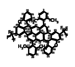 Cc1cccc(C)c1-c1cc2c3c(cc4c(-c5c(C)cccc5C)cc5c6c(cc1c3c46)B1c3ccccc3Oc3cc(C(F)(F)F)cc-5c31)B1c3ccccc3Oc3cc(C(F)(F)F)cc-2c31